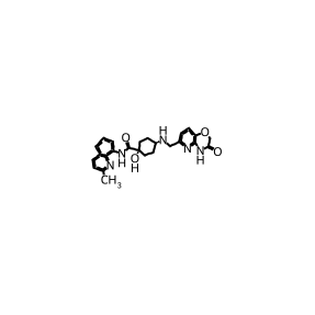 Cc1ccc2cccc(NC(=O)[C@]3(O)CC[C@@H](NCc4ccc5c(n4)NC(=O)CO5)CC3)c2n1